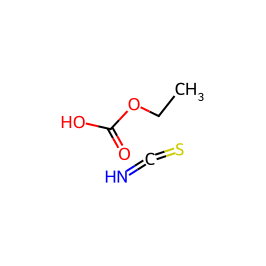 CCOC(=O)O.N=C=S